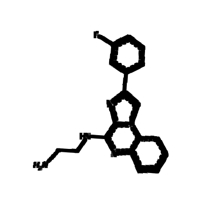 NCCNc1nc2ccccc2n2cc(-c3cccc(F)c3)nc12